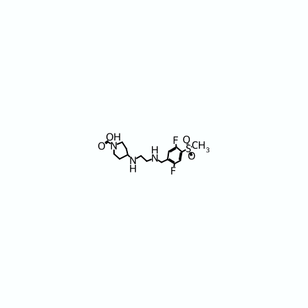 CS(=O)(=O)c1cc(F)c(CNCCNC2CCN(C(=O)O)CC2)cc1F